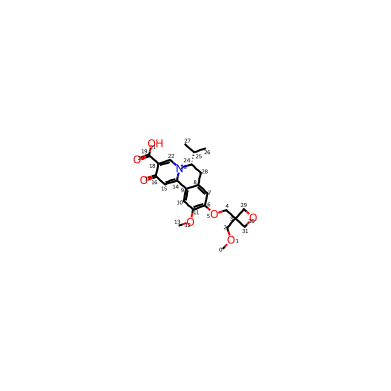 COCC1(COc2cc3c(cc2OC)-c2cc(=O)c(C(=O)O)cn2[C@H](C(C)C)C3)COC1